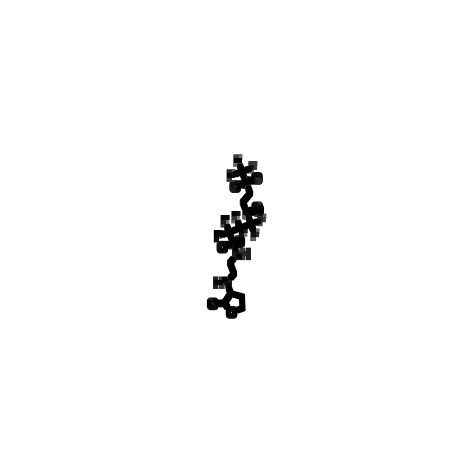 O=C1OCCC1NCCNS(=O)(=O)C(F)(F)C(F)(F)C(F)(F)S(=O)(=O)CCS(=O)(=O)C(F)(F)F